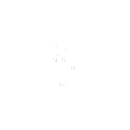 Cc1cc([N+](=O)[O-])ccc1-c1noc(-c2ccccc2Cl)n1